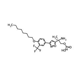 CCCCCCCCOc1ccc(-c2cc([C@@](C)(N)CO[PH](=O)O)on2)cc1C(F)(F)F